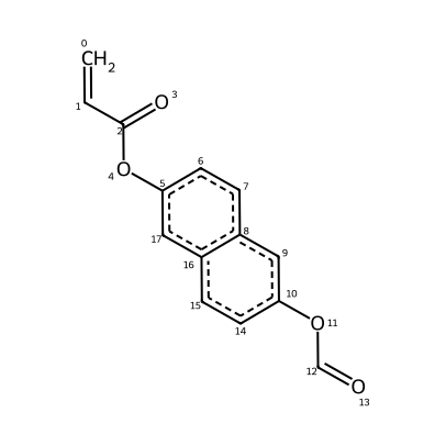 C=CC(=O)Oc1ccc2cc(OC=O)ccc2c1